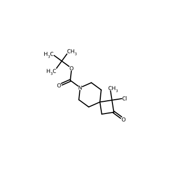 CC(C)(C)OC(=O)N1CCC2(CC1)CC(=O)C2(C)Cl